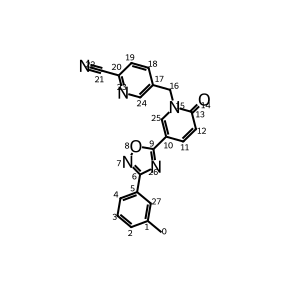 Cc1cccc(-c2noc(-c3ccc(=O)n(Cc4ccc(C#N)nc4)c3)n2)c1